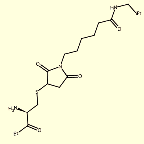 CCC(=O)[C@@H](N)CSC1CC(=O)N(CCCCCC(=O)N[C@H](C(C)=O)C(C)C)C1=O